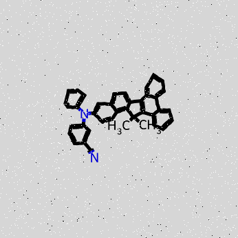 CC1(C)c2c(ccc3cc(N(c4ccccc4)c4cccc(C#N)c4)ccc23)-c2c1c1ccccc1c1ccccc21